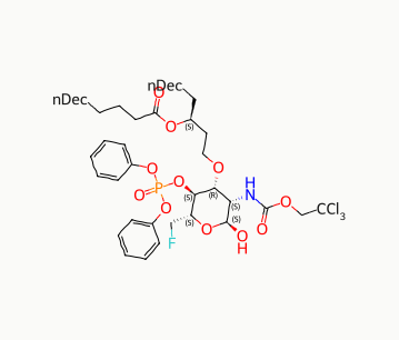 CCCCCCCCCCCCCC(=O)O[C@@H](CCCCCCCCCCC)CCO[C@@H]1[C@H](NC(=O)OCC(Cl)(Cl)Cl)[C@@H](O)O[C@H](CF)[C@H]1OP(=O)(Oc1ccccc1)Oc1ccccc1